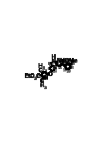 CCOC(=O)c1c(C)cc(OC2CC3CNC(N)=C(/C=C(\N)c4cccc(F)c4OC)N3C2)nc1C